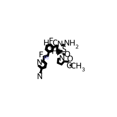 COC(=O)C1CCCN1C(=O)[C@]12C[C@H]1[C@@](C)(c1cc(/C=C(\F)c3ccc(C#N)cn3)ccc1F)N=C(N)S2